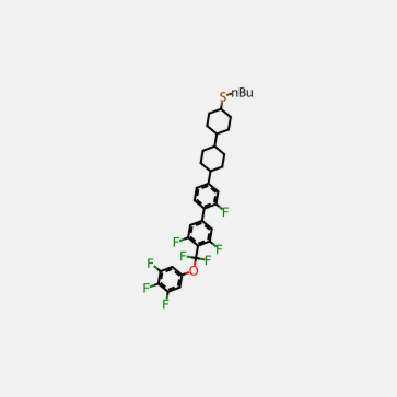 CCCCSC1CCC(C2CCC(c3ccc(-c4cc(F)c(C(F)(F)Oc5cc(F)c(F)c(F)c5)c(F)c4)c(F)c3)CC2)CC1